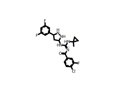 CC1(N/C(=N/C(=O)c2ccc(Cl)c(F)c2)NC2CC(c3cc(F)cc(F)c3)NN2)CC1